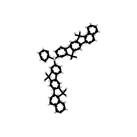 CC1(C)c2cc(N(c3ccccc3)c3ccc4c(c3)C(C)(C)c3cc5c(cc3-4)C(C)(C)c3c-5ccc4ccccc34)ccc2-c2cc3c(cc21)-c1ccc2ccccc2c1C3(C)C